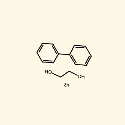 OCCO.[Zn].c1ccc(-c2ccccc2)cc1